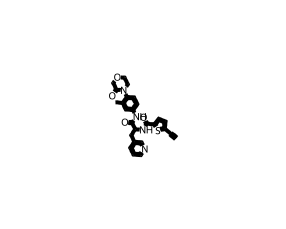 C#Cc1ccc(C(=O)NC(Cc2cccnc2)C(=O)Nc2ccc(N3CCOCC3=O)c(C)c2)s1